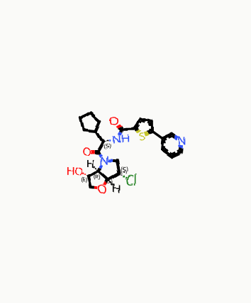 O=C(N[C@H](C(=O)N1C[C@H](Cl)[C@H]2OC[C@H](O)[C@H]21)C1CCCC1)c1ccc(-c2cccnc2)s1